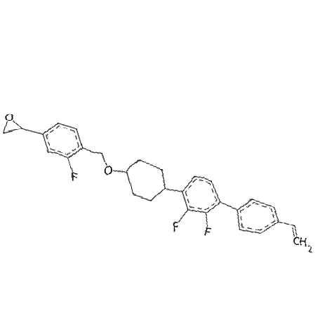 C=Cc1ccc(-c2ccc(C3CCC(OCc4ccc(C5CO5)cc4F)CC3)c(F)c2F)cc1